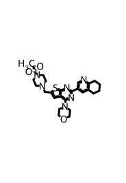 CS(=O)(=O)N1CCN(Cc2cc3c(N4CCOCC4)nc(-c4cnc5c(c4)CCCC5)nc3s2)CC1